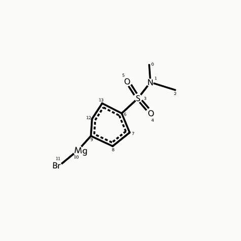 CN(C)S(=O)(=O)c1cc[c]([Mg][Br])cc1